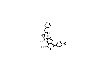 O=C(Cc1ccccc1)N[C@@H]1C(=O)N2C(C(=O)O)=C(Sc3ccc(Cl)cc3)CS[C@H]12